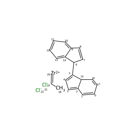 C1=CC2=CC=C(C3C=Cc4ccccc43)C2C=C1.C[CH]=[Zr+2].[Cl-].[Cl-]